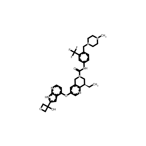 CC[C@@H]1CN(C(=O)Nc2ccc(CN3CCN(C)CC3)c(C(F)(F)F)c2)Cc2cc(Oc3ccnc4[nH]c(C5(O)COC5)cc34)cnc21